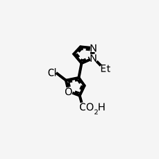 CCn1nccc1-c1cc(C(=O)O)oc1Cl